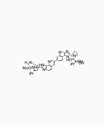 CON[C@H](C[C@@H](CCCN)c1nc2ccc3cc(-c4ccc5c(c4)ncc4nc([C@@H]6CCCN6C(=O)[C@@H](NO)C(C)C)[nH]c45)cnc3c2[nH]1)C(C)C